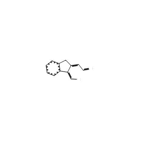 C=C/C=C1/Cc2ccccc2/C1=C/C